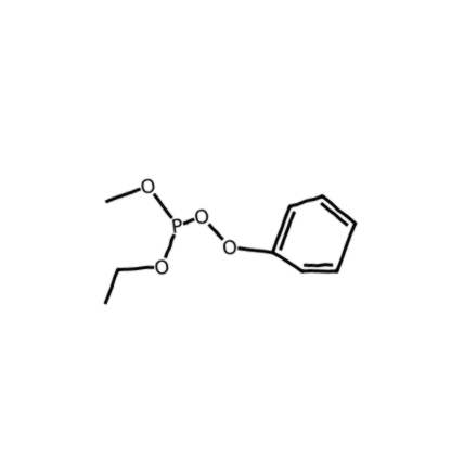 CCOP(OC)OOc1ccccc1